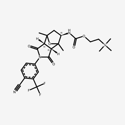 CC12C[C@@H](NC(=O)OCC[Si](C)(C)C)C(C)(O1)[C@@H]1C(=O)N(c3ccc(C#N)c(C(F)(F)F)c3)C(=O)[C@@H]12